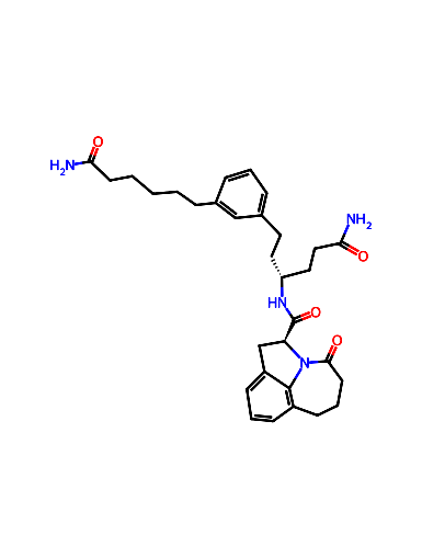 NC(=O)CCCCCc1cccc(CC[C@H](CCC(N)=O)NC(=O)[C@@H]2Cc3cccc4c3N2C(=O)CCC4)c1